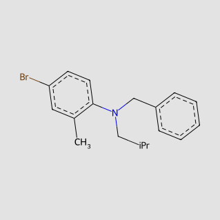 Cc1cc(Br)ccc1N(Cc1ccccc1)CC(C)C